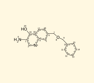 Nc1cnc2cc(COCc3ccccc3)ccc2c1O